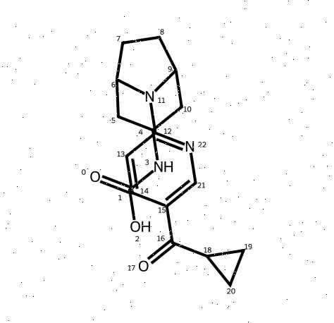 O=C(O)NC1CC2CCC(C1)N2c1ccc(C(=O)C2CC2)cn1